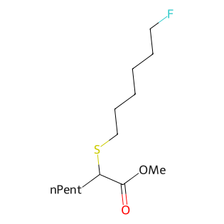 CCCCCC(SCCCCCCF)C(=O)OC